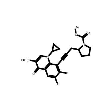 CCOC(=O)c1cn(C2CC2)c2c(C#CCC3CCCN3C(=O)OC(C)(C)C)c(F)c(F)cc2c1=O